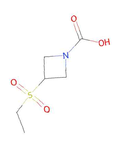 CCS(=O)(=O)C1CN(C(=O)O)C1